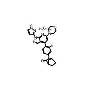 C[C@@H]1COCCN1c1cc(-c2ccc(N3C(=O)C4CCC3C4)cc2F)c2cnn(-c3cc[nH]n3)c2n1